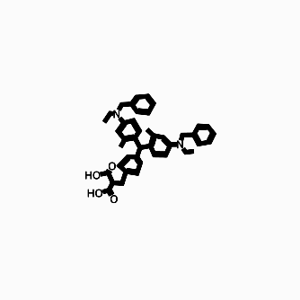 CCN(Cc1ccccc1)c1ccc(C(c2ccc(CC(C(=O)O)C(=O)O)cc2)c2ccc(N(CC)Cc3ccccc3)cc2C)c(C)c1